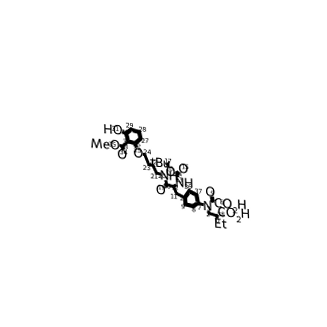 CCC(CN(C(=O)C(=O)O)c1ccc(CC(NC(=O)OC(C)(C)C)C(=O)NCCCCOc2cccc(O)c2C(=O)OC)cc1)C(=O)O